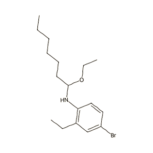 CCCCCCC(Nc1ccc(Br)cc1CC)OCC